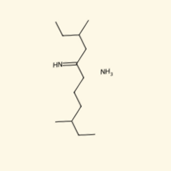 CCC(C)CCCC(=N)CC(C)CC.N